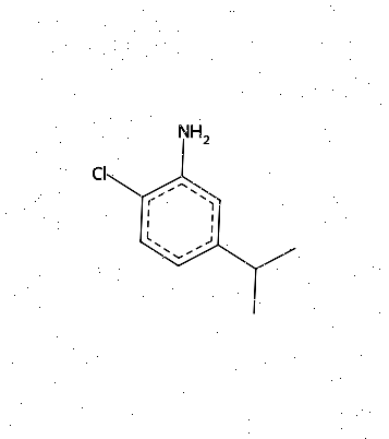 CC(C)c1ccc(Cl)c(N)c1